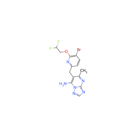 Cc1nc2ncnn2c(N)c1Cc1ccc(Br)c(OCC(F)F)n1